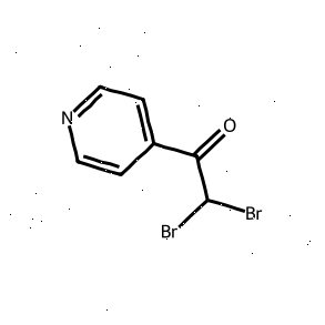 O=C(c1ccncc1)C(Br)Br